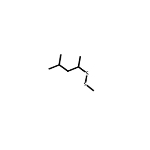 CSSC(C)CC(C)C